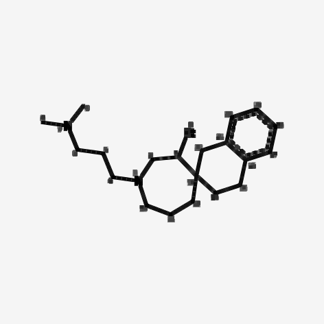 CCC1CN(CCCN(C)C)CCCC12CCc1ccccc1C2